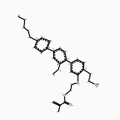 C=C(C)C(=O)OCCOc1cc(-c2ccc(-c3ccc(CCCCC)cc3)cc2CC)ccc1CCO